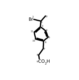 CC(Br)c1ccc(CCC(=O)O)cc1